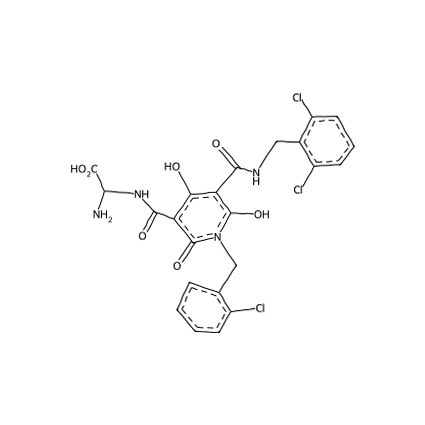 NC(NC(=O)c1c(O)c(C(=O)NCc2c(Cl)cccc2Cl)c(O)n(Cc2ccccc2Cl)c1=O)C(=O)O